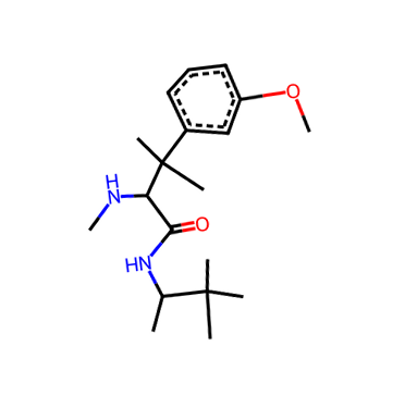 CNC(C(=O)NC(C)C(C)(C)C)C(C)(C)c1cccc(OC)c1